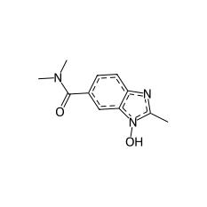 Cc1nc2ccc(C(=O)N(C)C)cc2n1O